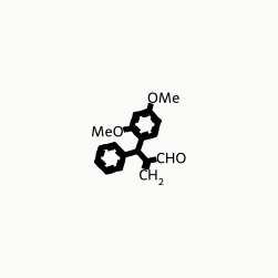 C=C(C=O)C(c1ccccc1)c1ccc(OC)cc1OC